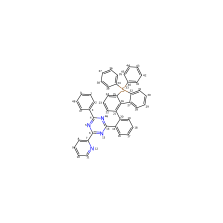 c1ccc(-c2nc(-c3ccccn3)nc(-c3ccccc3-c3cccc4c3-c3ccccc3S4(c3ccccc3)c3ccccc3)n2)cc1